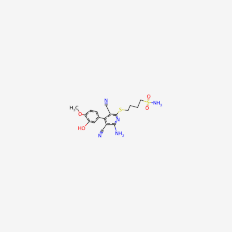 COc1ccc(-c2c(C#N)c(N)nc(SCCCCS(N)(=O)=O)c2C#N)cc1O